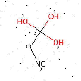 [C-]#[N+]CC(O)(O)O